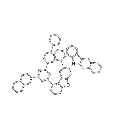 c1ccc(-c2ccc(-c3nc(-c4ccc5ccccc5c4)nc(-c4cccc5oc6cc(-n7c8ccccc8c8cc9ccccc9cc87)c(-c7ccccc7)cc6c45)n3)cc2)cc1